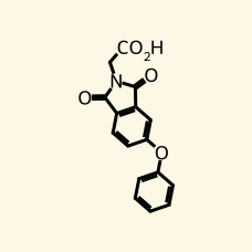 O=C(O)CN1C(=O)c2ccc(Oc3ccccc3)cc2C1=O